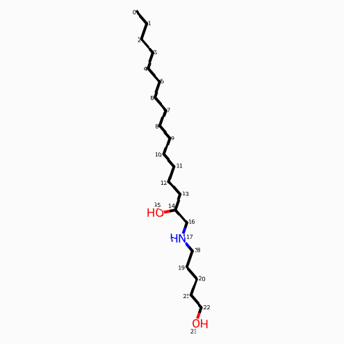 CCCCCCCCCCCCCCC(O)CNCCCCCO